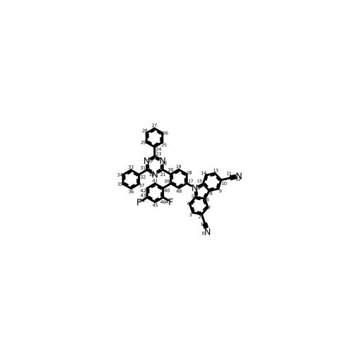 N#Cc1ccc2c(c1)c1cc(C#N)ccc1n2-c1ccc(-c2nc(-c3ccccc3)nc(-c3ccccc3)n2)c(-c2ccc(F)cc2F)c1